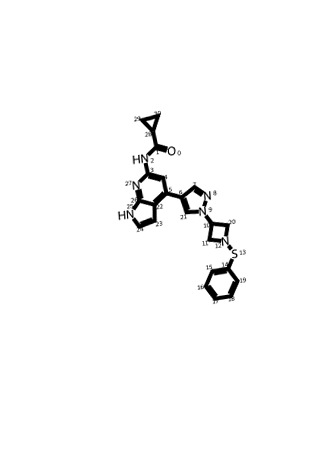 O=C(Nc1cc(-c2cnn(C3CN(Sc4ccccc4)C3)c2)c2cc[nH]c2n1)C1CC1